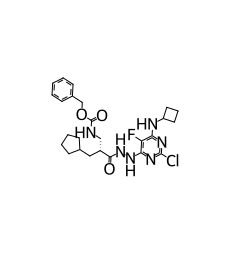 O=C(NC[C@@H](CC1CCCC1)C(=O)NNc1nc(Cl)nc(NC2CCC2)c1F)OCc1ccccc1